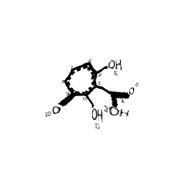 O=C(O)c1c(O)cccc(=O)c1O